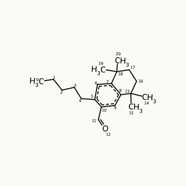 CCCCCc1cc2c(cc1C=O)C(C)(C)CCC2(C)C